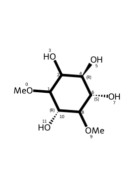 COC1C(O)[C@@H](O)[C@H](O)C(OC)[C@@H]1O